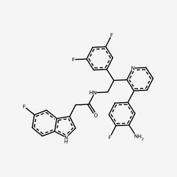 Nc1cc(-c2cccnc2C(CNC(=O)Cc2c[nH]c3ccc(F)cc23)c2cc(F)cc(F)c2)ccc1F